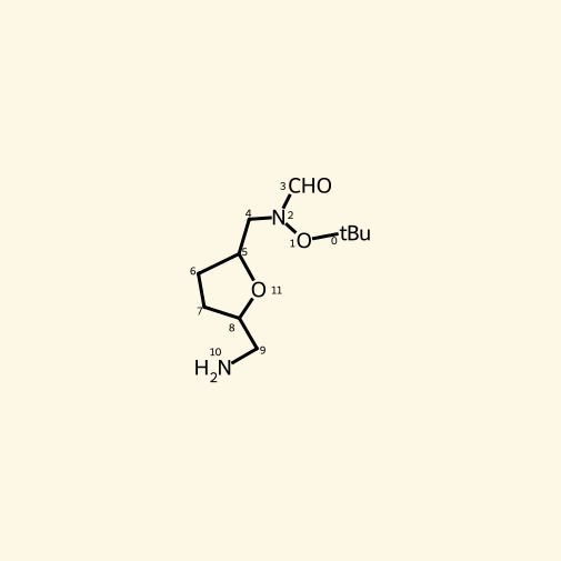 CC(C)(C)ON(C=O)CC1CCC(CN)O1